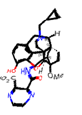 COC12CC[C@@]3(C[C@@H]1CNC(=O)c1nccnc1C(=O)O)[C@H]1Cc4ccc(O)c5c4[C@@]3(CCN1CC1CC1)C2O5